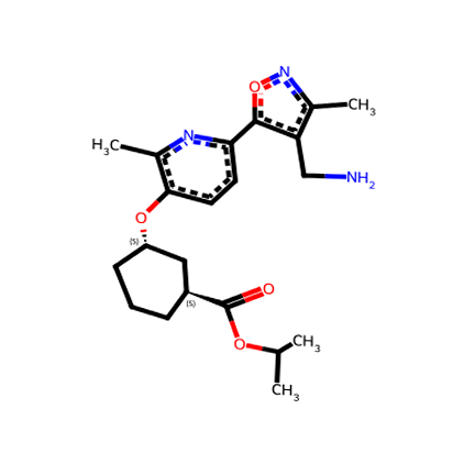 Cc1nc(-c2onc(C)c2CN)ccc1O[C@H]1CCC[C@H](C(=O)OC(C)C)C1